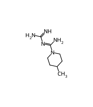 CC1CCN(C(N)=NC(=N)N)CC1